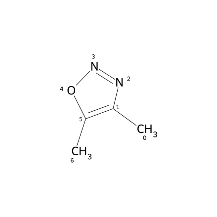 Cc1nnoc1C